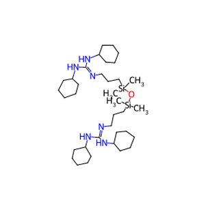 C[Si](C)(CCCN=C(NC1CCCCC1)NC1CCCCC1)O[Si](C)(C)CCCN=C(NC1CCCCC1)NC1CCCCC1